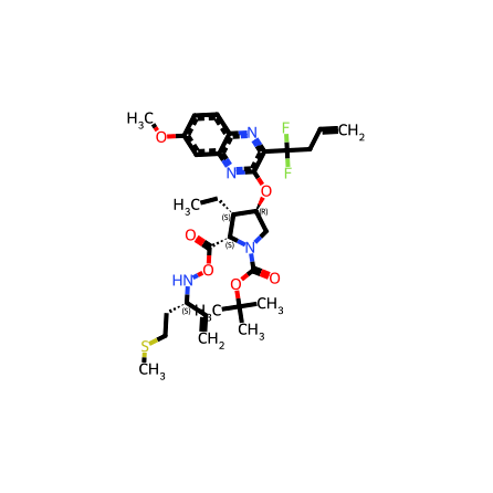 C=CCC(F)(F)c1nc2ccc(OC)cc2nc1O[C@H]1CN(C(=O)OC(C)(C)C)[C@H](C(=O)ON[C@H](C=C)CCSC)[C@@H]1CC